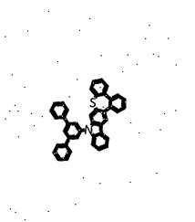 c1ccc(-c2cc(-c3ccccc3)cc(-n3c4ccccc4c4cc5c(cc43)Sc3ccccc3-c3ccccc3-5)c2)cc1